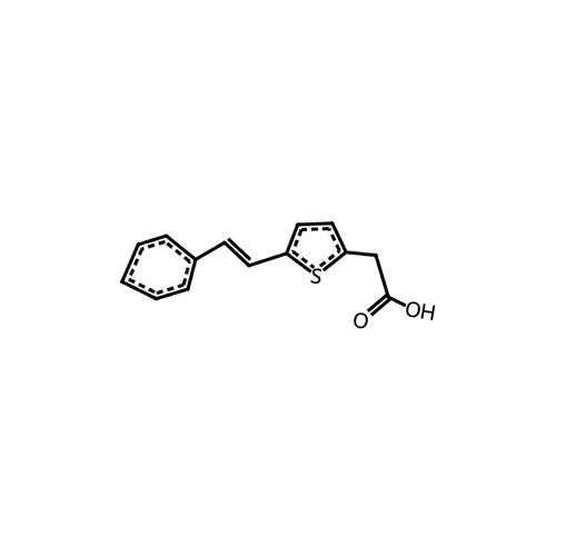 O=C(O)Cc1ccc(C=Cc2ccccc2)s1